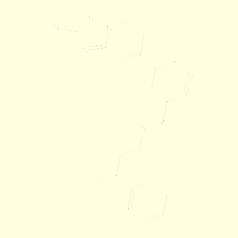 CC(CCNC(=O)c1cncc(-c2ccn3nc(N)nc3c2)c1)c1ccccc1